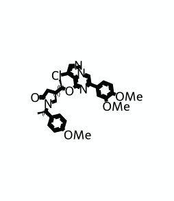 COc1ccc([C@@H](C)N2C[C@H]([C@@H](C)Oc3nc(-c4ccc(OC)c(OC)c4)cn4ncc(Cl)c34)CC2=O)cc1